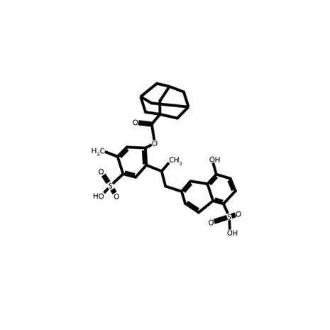 Cc1cc(OC(=O)C23CC4CC(CC(C4)C2)C3)c(C(C)Cc2ccc3c(S(=O)(=O)O)ccc(O)c3c2)cc1S(=O)(=O)O